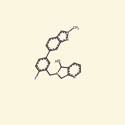 Cn1cc2ccc(-c3ccc(F)c(CN4Cc5ncccc5C4O)c3)cc2n1